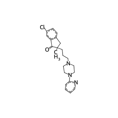 CC1(CCCN2CCN(c3ccccn3)CC2)Cc2ccc(Cl)cc2C1=O